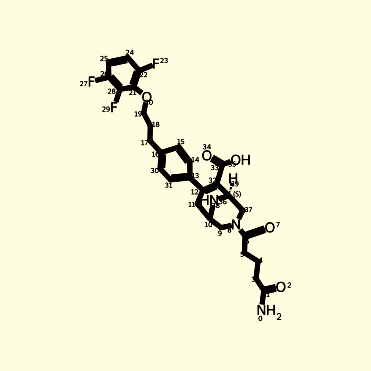 NC(=O)CCCC(=O)N1CC2CC(c3ccc(CCCOc4c(F)ccc(F)c4F)cc3)=C(C(=O)O)[C@@H](C1)N2